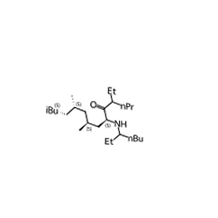 CCCCC(CC)N[C@@H](C[C@@H](C)C[C@@H](C)C[C@@H](C)CC)C(=O)C(CC)CCC